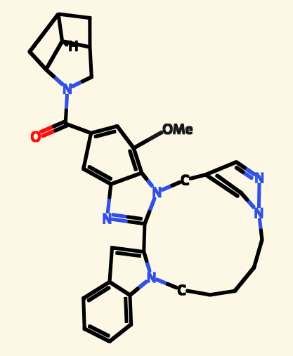 COc1cc(C(=O)N2CC3CC4CC2[C@H]43)cc2nc3n(c12)Cc1cnn(c1)CCCCCn1c-3cc2ccccc21